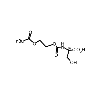 CCCCC(=O)OCCOC(=O)N[C@H](CO)C(=O)O